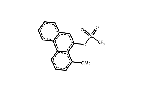 COc1cccc2c1c(OS(=O)(=O)C(F)(F)F)cc1ccccc12